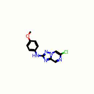 COc1ccc(Nc2nc3cnc(Cl)cn3n2)cc1